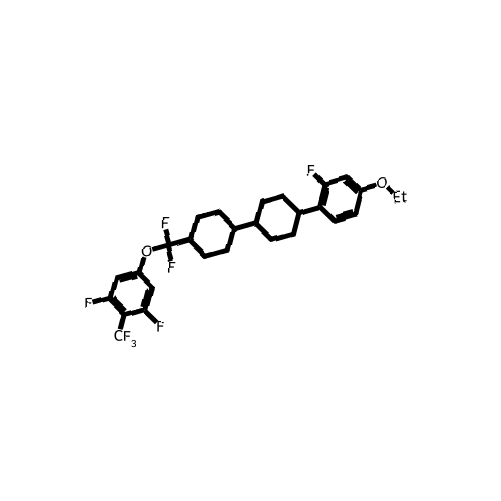 CCOc1ccc(C2CCC(C3CCC(C(F)(F)Oc4cc(F)c(C(F)(F)F)c(F)c4)CC3)CC2)c(F)c1